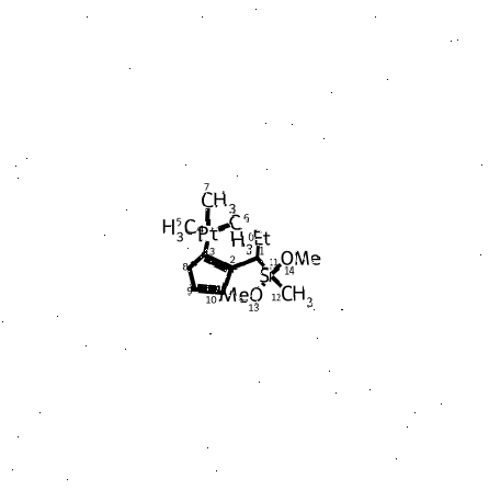 CCC(C1=[C]([Pt]([CH3])([CH3])[CH3])CC=C1)[Si](C)(OC)OC